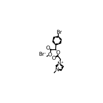 COC(=O)C(OC(=O)C[n+]1ccn(C)c1)c1ccc(Br)cc1.[Br-]